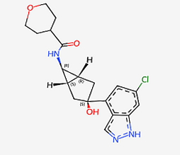 O=C(N[C@H]1[C@@H]2C[C@](O)(c3cc(Cl)cc4[nH]ncc34)C[C@@H]21)C1CCOCC1